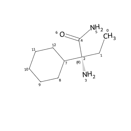 CC[C@](N)(C(N)=O)C1CCCCC1